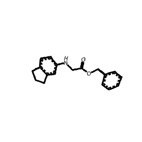 O=C(CNc1ccc2c(c1)CCC2)OCc1ccccc1